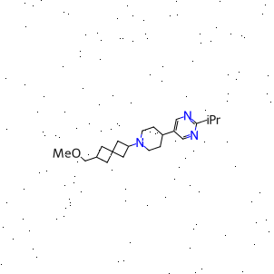 COCC1CC2(C1)CC(N1CCC(c3cnc(C(C)C)nc3)CC1)C2